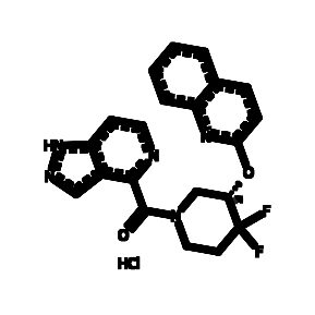 Cl.O=C(c1nccc2[nH]ncc12)N1CCC(F)(F)[C@@H](Oc2ccc3ccccc3n2)C1